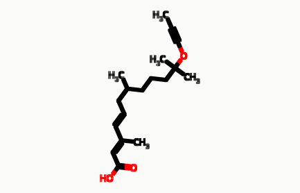 CC#COC(C)(C)CCCC(C)C/C=C/C(C)=C/C(=O)O